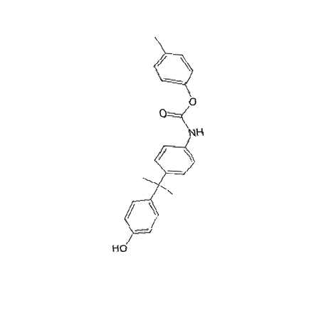 Cc1ccc(OC(=O)Nc2ccc(C(C)(C)c3ccc(O)cc3)cc2)cc1